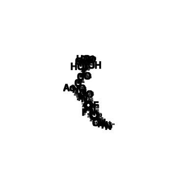 CC(=O)N(C[C@H]1CN(c2cc(F)c(N3CCC(O)(CN=[N+]=[N-])CC3)c(F)c2)C(=O)O1)C(=O)OCOC(=O)CCC(P(=O)(O)O)P(=O)(O)O